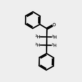 [2H]C([2H])(C(=O)c1ccccc1)C([2H])([2H])c1ccccc1